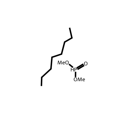 CCCCCCCC.CO[PH](=O)OC